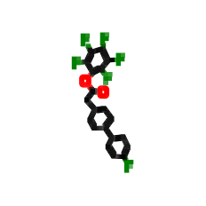 O=C(Cc1ccc(-c2ccc(F)cc2)cc1)Oc1c(F)c(F)c(F)c(F)c1F